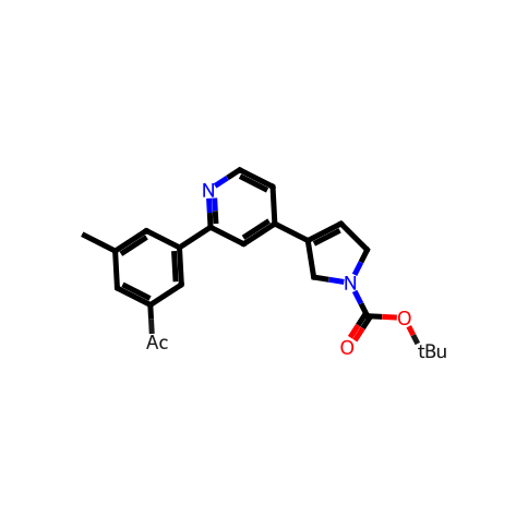 CC(=O)c1cc(C)cc(-c2cc(C3=CCN(C(=O)OC(C)(C)C)C3)ccn2)c1